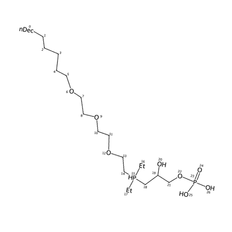 CCCCCCCCCCCCCCCOCCOCCOCC[PH](CC)(CC)CC(O)COP(=O)(O)O